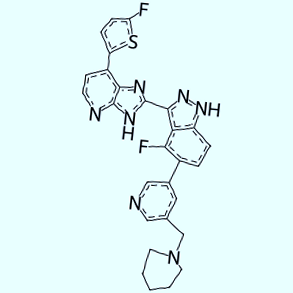 Fc1ccc(-c2ccnc3[nH]c(-c4n[nH]c5ccc(-c6cncc(CN7CCCCC7)c6)c(F)c45)nc23)s1